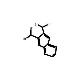 BrC(Br)c1cc2ccccc2cc1C(Br)Br